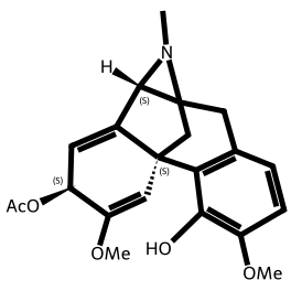 COC1=C[C@]23CC4(Cc5ccc(OC)c(O)c52)[C@H](C3=C[C@@H]1OC(C)=O)N4C